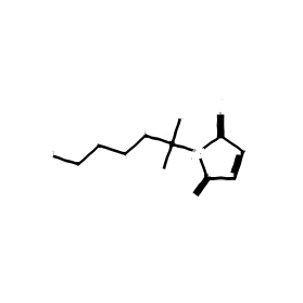 CCCCCC(C)(C)N1C(=O)C=CC1=O